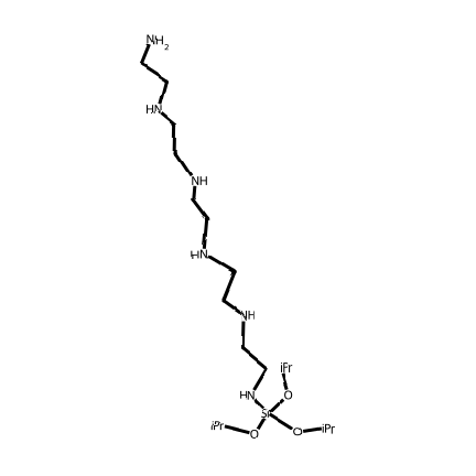 CC(C)O[Si](NCCNCCNCCNCCNCCN)(OC(C)C)OC(C)C